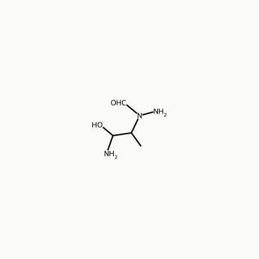 CC(C(N)O)N(N)C=O